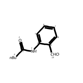 CCCCC(=O)Nc1ccccc1[C]=O